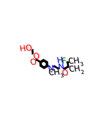 C=C(C(=O)NCCN(C)c1ccc(C(=O)OCCO)cc1)C(C)F